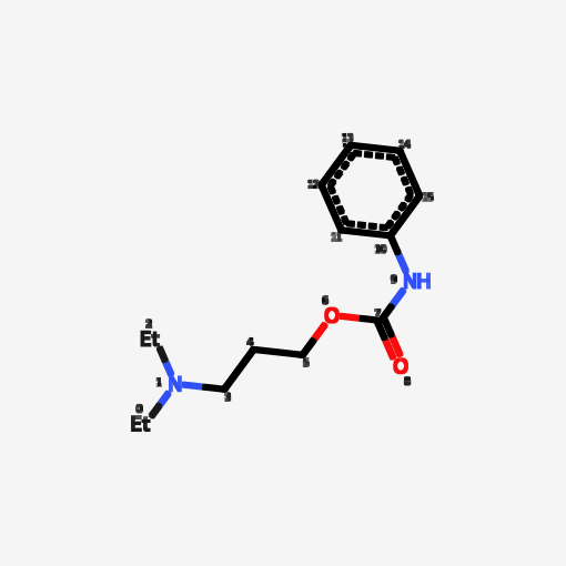 CCN(CC)CCCOC(=O)Nc1cc[c]cc1